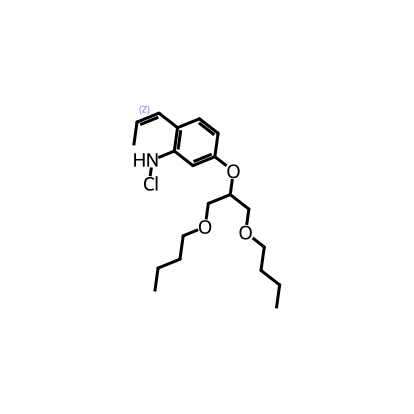 C/C=C\c1ccc(OC(COCCCC)COCCCC)cc1NCl